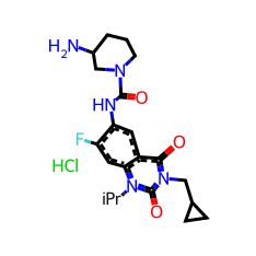 CC(C)n1c(=O)n(CC2CC2)c(=O)c2cc(NC(=O)N3CCCC(N)C3)c(F)cc21.Cl